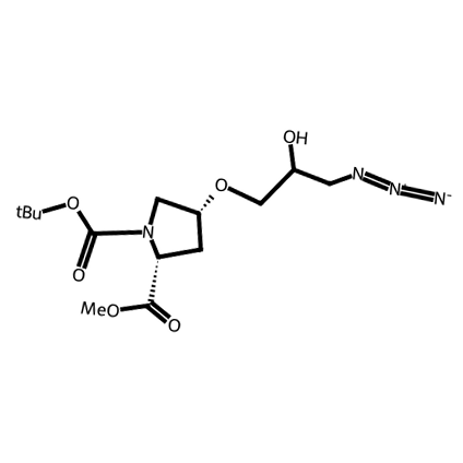 COC(=O)[C@H]1C[C@@H](OCC(O)CN=[N+]=[N-])CN1C(=O)OC(C)(C)C